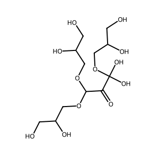 O=C(C(OCC(O)CO)OCC(O)CO)C(O)(O)OCC(O)CO